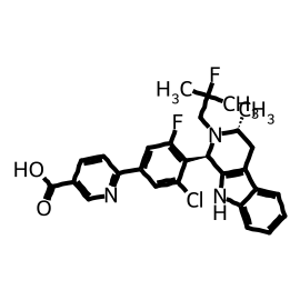 C[C@@H]1Cc2c([nH]c3ccccc23)[C@@H](c2c(F)cc(-c3ccc(C(=O)O)cn3)cc2Cl)N1CC(C)(C)F